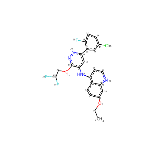 CCOc1ccc2c(Nc3cc(-c4cc(Cl)ccc4F)nnc3OCC(F)F)ccnc2c1